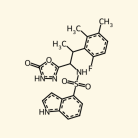 Cc1ccc(F)c(C(C)C(NS(=O)(=O)c2cccc3[nH]ccc23)c2n[nH]c(=O)o2)c1C